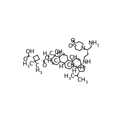 CC(C)[C@@H]1CC[C@]2(NCC[C@H](CN)N3CCS(=O)(=O)CC3)CC[C@]3(C)[C@H](CC[C@@H]4[C@@]5(C)CC[C@H](OC(=O)[C@H]6C[C@@H](C(=O)O)C6(C)C)C(C)(C)[C@@H]5CC[C@]43C)[C@@H]12